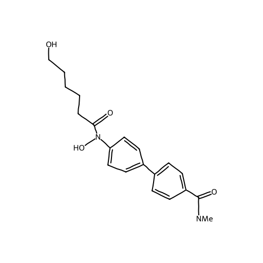 CNC(=O)c1ccc(-c2ccc(N(O)C(=O)CCCCCO)cc2)cc1